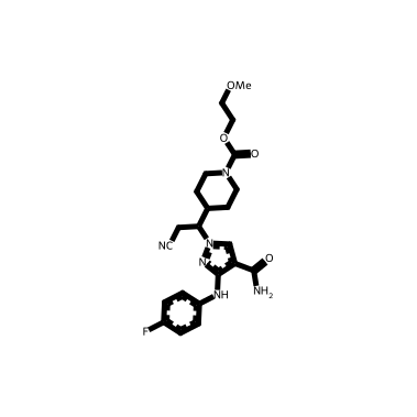 COCCOC(=O)N1CCC(C(CC#N)n2cc(C(N)=O)c(Nc3ccc(F)cc3)n2)CC1